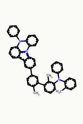 Cc1ccc(-c2ccc3c(c2)c2cccc4c2n3-c2ccccc2N4c2ccccc2)cc1-c1cccc(N(c2ccccc2)c2ccccc2C)c1C